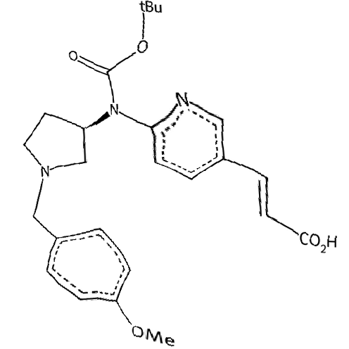 COc1ccc(CN2CC[C@@H](N(C(=O)OC(C)(C)C)c3ccc(C=CC(=O)O)cn3)C2)cc1